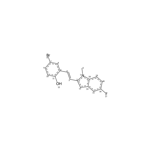 Cn1c(C=Cc2cc(Br)ccc2O)cc2cc(F)ccc21